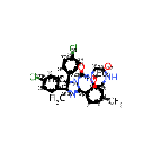 CCOc1cc(C(F)(F)F)ccc1C1=N[C@@](C)(c2ccc(Cl)cc2)[C@@](C)(c2ccc(Cl)cc2)N1C(=O)N1CCNC(=O)C1